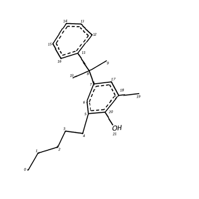 CCCCCc1cc(C(C)(C)c2ccccc2)cc(C)c1O